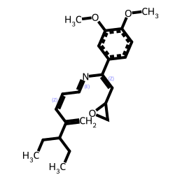 C=C(\C=C/C=N/C(=C\C1CO1)c1ccc(OC)c(OC)c1)C(CC)CC